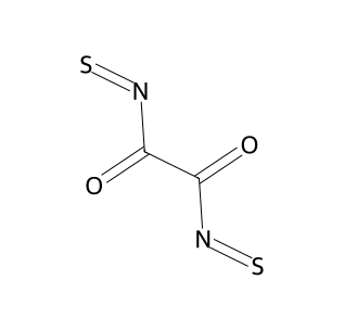 O=C(N=S)C(=O)N=S